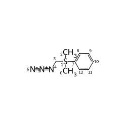 CS(C)(CN=[N+]=[N-])c1ccccc1